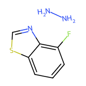 Fc1cccc2scnc12.NN